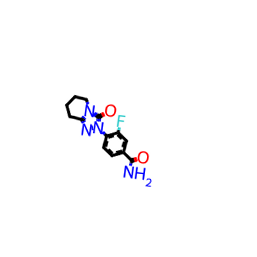 NC(=O)c1ccc(-n2nc3n(c2=O)CCCC3)c(F)c1